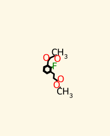 CCOC(=O)CCc1cccc(C2OC2C(C)=O)c1F